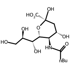 CCCCC(=O)N[C@H]1[C@H]([C@H](O)[C@H](O)CO)O[C@](O)(C(=O)O)C[C@@H]1O